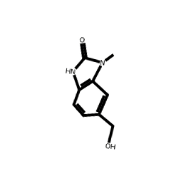 Cn1c(=O)[nH]c2ccc(CO)cc21